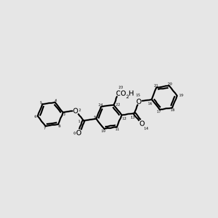 O=C(Oc1ccccc1)c1ccc(C(=O)Oc2ccccc2)c(C(=O)O)c1